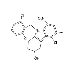 Cc1cc([N+](=O)[O-])c2c(c1Cl)c1c(n2Cc2c(Cl)cccc2Cl)CCC(O)C1